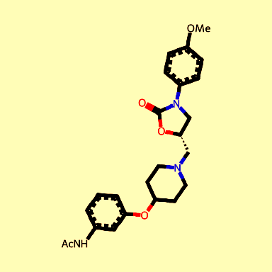 COc1ccc(N2C[C@H](CN3CCC(Oc4cccc(NC(C)=O)c4)CC3)OC2=O)cc1